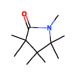 CN1C(=O)C(C)(C)C(C)(C)C1(C)C